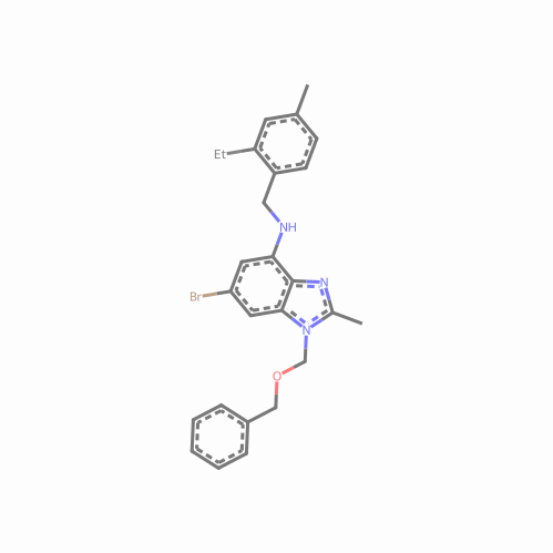 CCc1cc(C)ccc1CNc1cc(Br)cc2c1nc(C)n2COCc1ccccc1